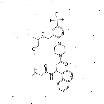 CNCC(=O)NC(CC(=O)N1CCN(c2ccc(C(F)(F)F)cc2CNC(C)COC)CC1)c1cccc2ccccc12